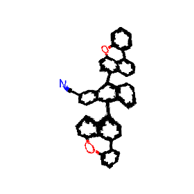 N#Cc1ccc2c(-c3ccc4c5c(cccc35)Oc3ccccc3-4)c3ccccc3c(-c3ccc4c5c(cccc35)-c3ccccc3O4)c2c1